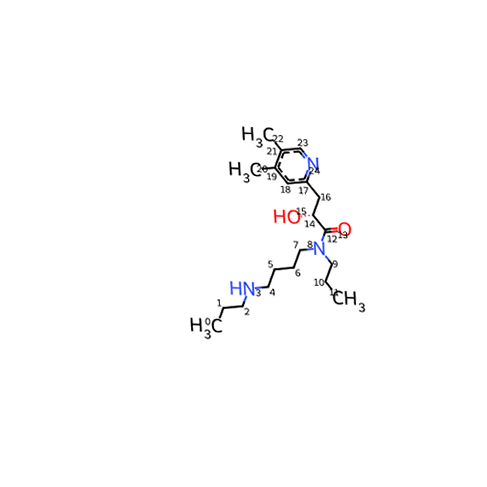 CCCNCCCCN(CCC)C(=O)[C@H](O)Cc1cc(C)c(C)cn1